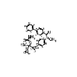 CN(C(=O)c1ccc(-c2ccccc2)cc1)c1ccc(C2CC2C(OC(N)=O)(C2CC2)C(C)(C)C)cc1